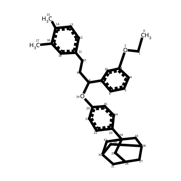 CCOc1cccc(C(CCc2ccc(C)c(C)c2)Oc2ccc(C34CC5CC(CC(C5)C3)C4)cc2)c1